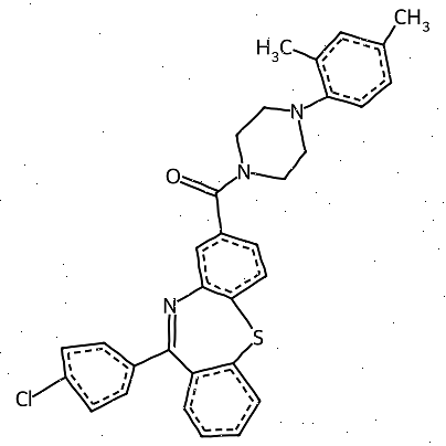 Cc1ccc(N2CCN(C(=O)c3ccc4c(c3)N=C(c3ccc(Cl)cc3)c3ccccc3S4)CC2)c(C)c1